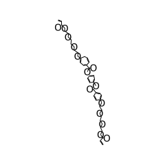 C=CC(=O)OCCOCCOCCOC1=CC=C(C(=O)Oc2ccc(OC(=O)c3ccc(OCCOCCOCCOC(=O)C=C)cc3)cc2)C=CC1